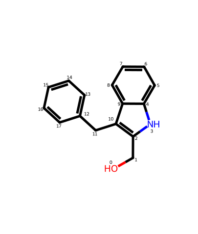 OCc1[nH]c2ccccc2c1Cc1ccccc1